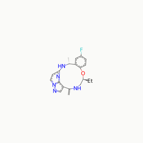 C=C1NC[C@H](CC)Oc2ccc(F)cc2[C@@H](C)Nc2ccn3ncc1c3n2